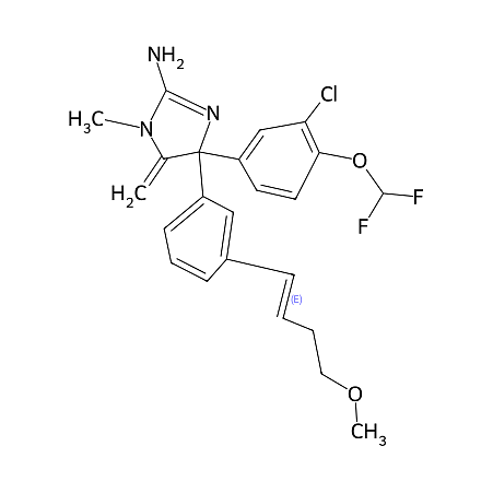 C=C1N(C)C(N)=NC1(c1cccc(/C=C/CCOC)c1)c1ccc(OC(F)F)c(Cl)c1